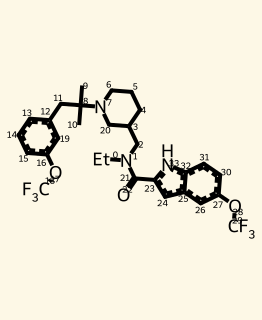 CCN(CC1CCCN(C(C)(C)Cc2cccc(OC(F)(F)F)c2)C1)C(=O)c1cc2cc(OC(F)(F)F)ccc2[nH]1